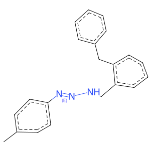 Cc1ccc(/N=N/NCc2ccccc2Cc2ccccc2)cc1